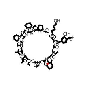 CC[C@H](C)[C@@H]1NC(=O)[C@H](CC(C)C)N(CC)C(=O)C[C@@H](C(=O)N2CCCCC2)N(CC)C(=O)[C@H](C2CCCCC2)N(CC)C(=O)C2(CCCC2)NC(=O)CN(CC=CCCO)C(=O)[C@H](CCc2ccc(C(F)(F)F)c(Cl)c2)NC(=O)CN(CC)C(=O)[C@H](CC2CCCCC2)N(CC)C(=O)CN(CC)C(=O)CN(CC)C1=O